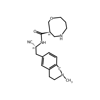 CN1CCc2cc(C[C@H](C#N)NC(=O)[C@@H]3CNCCCOC3)ccc2C1